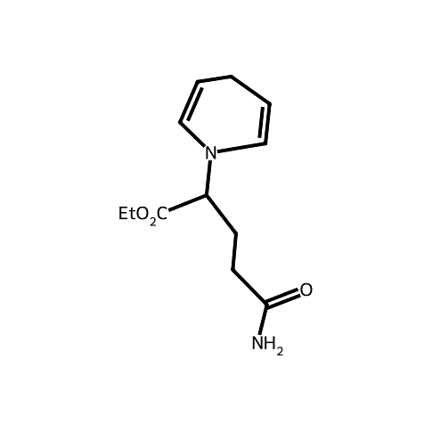 CCOC(=O)C(CCC(N)=O)N1C=CCC=C1